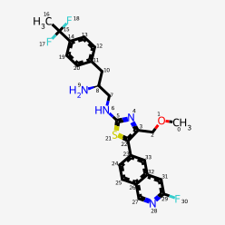 COCc1nc(NC[C@@H](N)Cc2ccc(C(C)(F)F)cc2)sc1-c1ccc2cnc(F)cc2c1